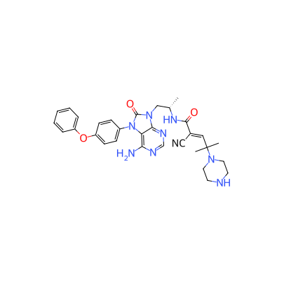 C[C@@H](Cn1c(=O)n(-c2ccc(Oc3ccccc3)cc2)c2c(N)ncnc21)NC(=O)/C(C#N)=C/C(C)(C)N1CCNCC1